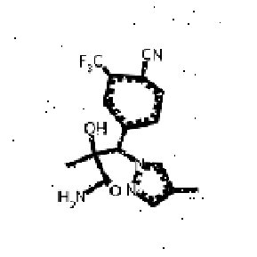 Cc1cnn(C(c2ccc(C#N)c(C(F)(F)F)c2)C(C)(O)C(N)=O)c1